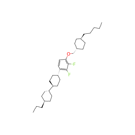 CCCCC[C@H]1CC[C@H](COc2ccc([C@H]3CC[C@H]([C@H]4CC[C@H](CCC)CC4)CC3)c(F)c2F)CC1